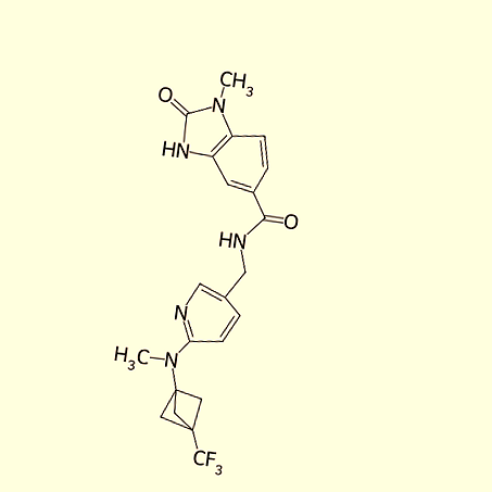 CN(c1ccc(CNC(=O)c2ccc3c(c2)[nH]c(=O)n3C)cn1)C12CC(C(F)(F)F)(C1)C2